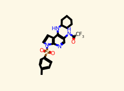 Cc1ccc(S(=O)(=O)n2ccc3c(NC4CCCCC4)c(NC(=O)C(F)(F)F)cnc32)cc1